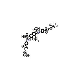 CS(=O)(=O)OCCS(=O)(=O)c1ccc(/N=N/c2c(S(=O)(=O)O)cc3cc(S(=O)(=O)O)c(/N=N/c4ccc(S(=O)(=O)CCOS(=O)(=O)O)cc4)c(O)c3c2N)cc1